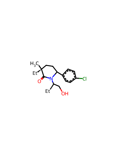 CCC(CO)N1C(=O)[C@@](C)(CC)CCC1c1ccc(Cl)cc1